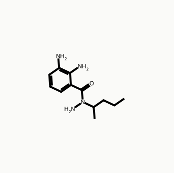 CCCC(C)N(N)C(=O)c1cccc(N)c1N